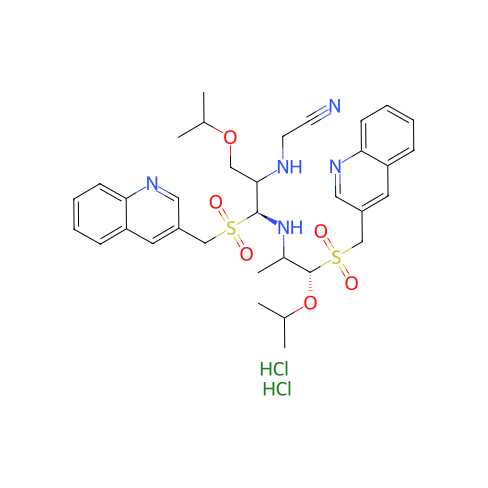 CC(C)OCC(NCC#N)[C@@H](NC(C)[C@@H](OC(C)C)S(=O)(=O)Cc1cnc2ccccc2c1)S(=O)(=O)Cc1cnc2ccccc2c1.Cl.Cl